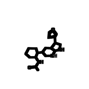 CC(=O)NC1CCCCC1C1CNC2NCC(c3ccoc3)C2C1